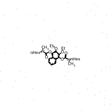 CCCCCCN(C)C(=O)Oc1c(OCC)c(OCC)c(OC(=O)N(C)CCCCCC)c2ccccc12